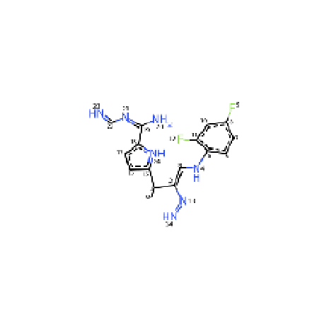 CC(/C(=C/Nc1ccc(F)cc1F)N=N)c1ccc(/C(N)=N\C=N)[nH]1